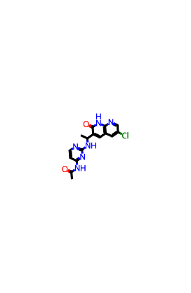 CC(=O)Nc1ccnc(NC(C)c2cc3cc(Cl)cnc3[nH]c2=O)n1